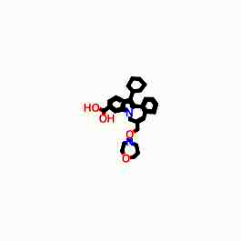 OC(O)c1ccc2c(C3CCCCC3)c3n(c2c1)CC(CON1CCCOCC1)=Cc1ccccc1-3